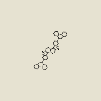 C1=CC2C(c3ccc4c5c(sc4c3)C=CC3=c4c(sc6cc(-c7cc8ccccc8c8ccccc78)ccc46)=CCC35)=Cc3ccccc3C2C=C1